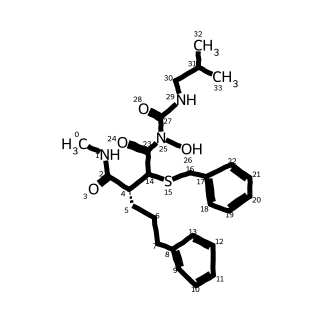 CNC(=O)[C@@H](CCCc1ccccc1)C(SCc1ccccc1)C(=O)N(O)C(=O)NCC(C)C